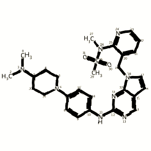 CN(C)C1CCN(c2ccc(Nc3ncc4ccn(Cc5cccnc5N(C)S(C)(=O)=O)c4n3)cc2)CC1